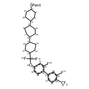 CCCCCC1CCC(C2CCC(C3CCC(C(F)(F)Oc4ccc(-c5ccc(C(F)(F)F)c(F)c5)c(F)c4)CC3)CC2)CC1